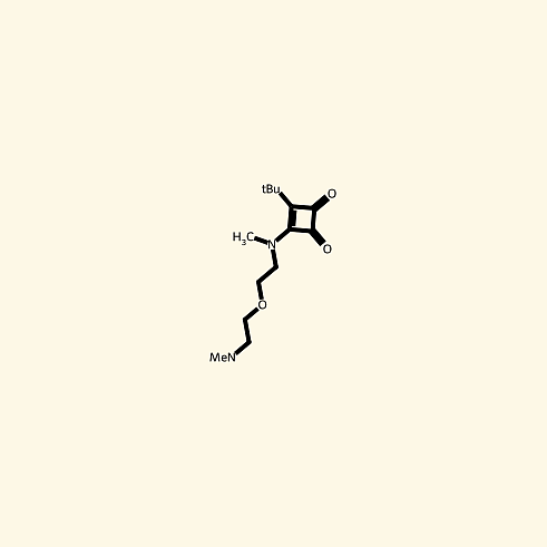 CNCCOCCN(C)c1c(C(C)(C)C)c(=O)c1=O